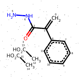 C=C(C(=O)NN)c1ccccc1.CC(=O)O.CC(=O)O